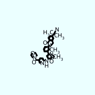 Cc1c(-c2cc(Nc3ccc(C(=O)N4CCOCC4)cn3)c(=O)n(C)n2)cccc1N1CCc2cc(C(C)(C)C#N)ccc2C1=O